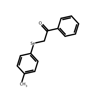 Cc1ccc([Se]CC(=O)c2ccccc2)cc1